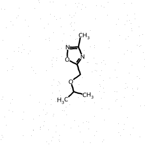 Cc1noc(COC(C)C)n1